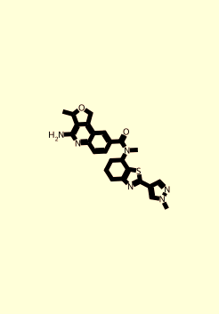 CC1OCc2c1c(N)nc1ccc(C(=O)N(C)C3CCCc4nc(-c5cnn(C)c5)sc43)cc21